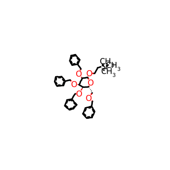 C[Si](C)(C)CCO[C@@H]1O[C@H](COCc2ccccc2)[C@@H](OCc2ccccc2)[C@H](OCc2ccccc2)[C@H]1OCc1ccccc1